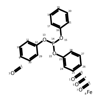 [C]=O.[C]=O.[C]=O.[C]=O.[Fe].c1ccc(OP(Oc2ccccc2)Oc2ccccc2)cc1